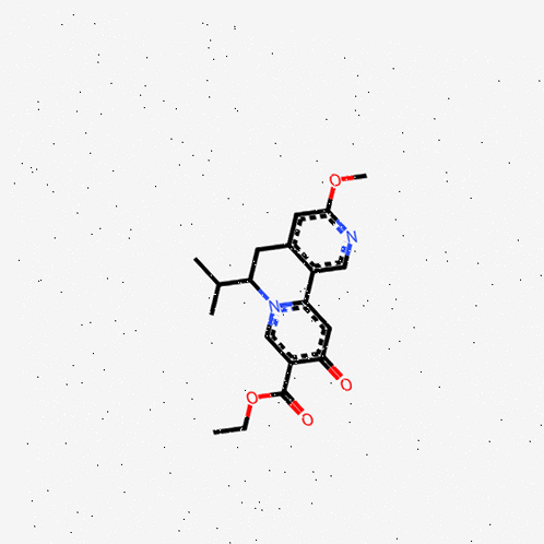 CCOC(=O)c1cn2c(cc1=O)-c1cnc(OC)cc1CC2C(C)C